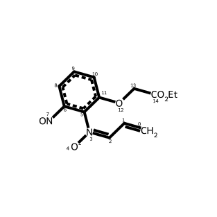 C=C/C=[N+](/[O-])c1c(N=O)cccc1OCC(=O)OCC